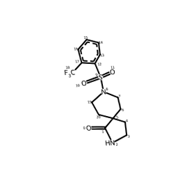 O=C1NCCC12CCN(S(=O)(=O)c1ccccc1C(F)(F)F)CC2